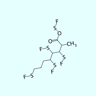 CC(C(=O)OSF)C(SF)C(SF)C(CCCSF)SF